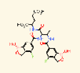 CC(NC(=O)c1cc(F)c2c(c1)B(O)OC2)C(NC(=O)c1cc(F)c2c(c1)B(O)OC2)C(=O)NC(CCC(=O)O)C(=O)O